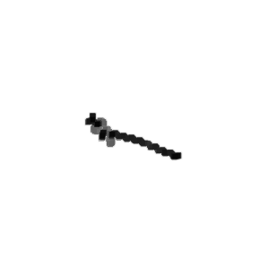 C=C(C)C(=O)OC(C)OC(=O)CCCCCCCCCCCCCCCCC